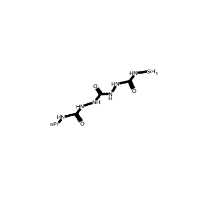 CCCNC(=O)NNC(=O)NNC(=O)N[SiH3]